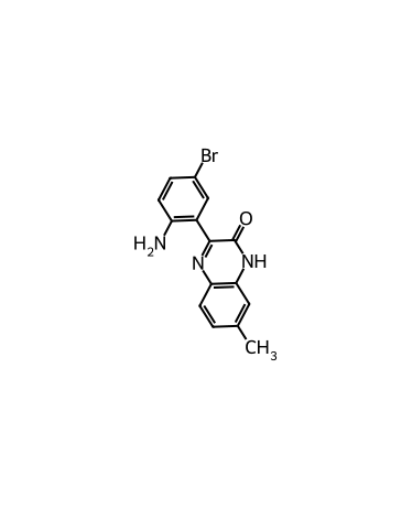 Cc1ccc2nc(-c3cc(Br)ccc3N)c(=O)[nH]c2c1